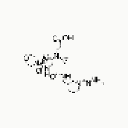 NN=CN1CCC[C@@H](CNC(=O)C[C@H](NS(=O)(=O)N2CCOCC2)C(=O)N(CCC(=O)O)C2CC2)C1